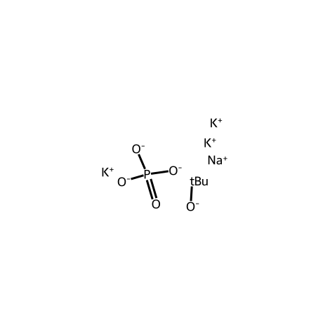 CC(C)(C)[O-].O=P([O-])([O-])[O-].[K+].[K+].[K+].[Na+]